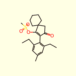 CCc1cc(C)cc(CC)c1C1=C(OS(C)(=O)=O)C2(CCCCC2)CC1=O